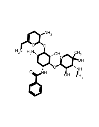 CN[C@@H]1[C@@H](O)[C@@H](O[C@@H]2[C@@H](O)[C@H](O[C@H]3OC(CN)=CC[C@H]3N)[C@@H](N)C[C@H]2NC(=O)c2ccccc2)OC[C@]1(C)O